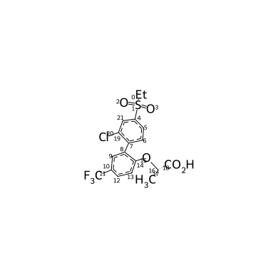 CCS(=O)(=O)c1ccc(-c2cc(C(F)(F)F)ccc2O[C@@H](C)C(=O)O)c(Cl)c1